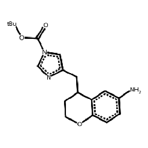 CC(C)(C)OC(=O)n1cnc(CC2CCOc3ccc(N)cc32)c1